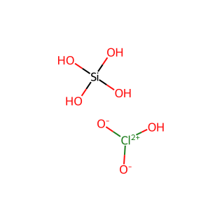 O[Si](O)(O)O.[O-][Cl+2]([O-])O